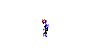 Cn1cc(-c2cc3cnc(N4CCOCC4)cc3n2C)cn1